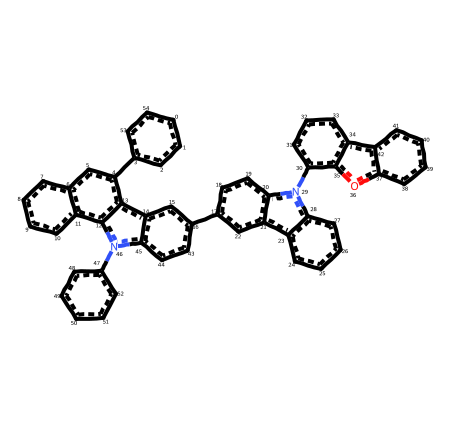 c1ccc(-c2cc3ccccc3c3c2c2cc(-c4ccc5c(c4)c4ccccc4n5-c4cccc5c4oc4ccccc45)ccc2n3-c2ccccc2)cc1